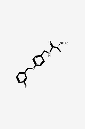 CC(=O)N[C@H](C)C(=O)NCc1ccc(OCc2cccc(F)c2)cc1